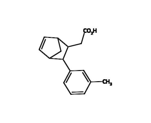 Cc1cccc(C2C3C=CC(C3)C2CC(=O)O)c1